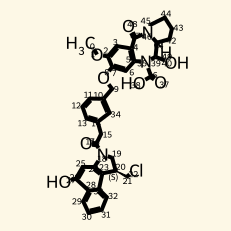 COc1cc2c(cc1OCc1cccc(CC(=O)N3C[C@@H](CCl)c4c3cc(O)c3ccccc43)c1)N(C(=O)O)C(O)[C@@H]1CCCCN1C2=O